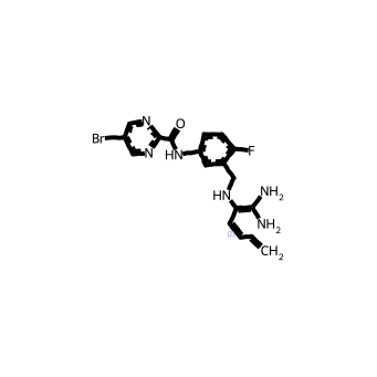 C=C/C=C\C(NCc1cc(NC(=O)c2ncc(Br)cn2)ccc1F)=C(N)N